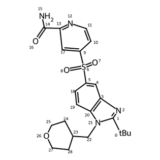 CC(C)(C)c1nc2cc(S(=O)(=O)c3ccnc(C(N)=O)c3)ccc2n1CC1CCOCC1